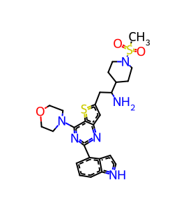 CS(=O)(=O)N1CCC(C(N)Cc2cc3nc(-c4cccc5[nH]ccc45)nc(N4CCOCC4)c3s2)CC1